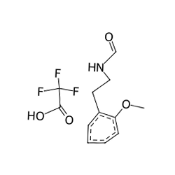 COc1ccccc1CCNC=O.O=C(O)C(F)(F)F